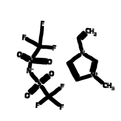 C=Cn1cc[n+](C)c1.O=S(=O)([N-]S(=O)(=O)C(F)(F)F)C(F)(F)F